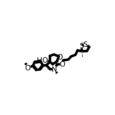 COc1ccc(C(CN(C)COC(=O)CCCC[C@]2(C)CCSS2)C2(O)CCCCC2)cc1